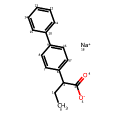 CCC(C(=O)[O-])c1ccc(-c2ccccc2)cc1.[Na+]